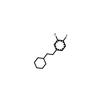 Fc1ccc(CCC2CCCCC2)cc1F